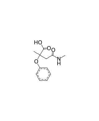 CNC(=O)CC(C)(Oc1ccccc1)C(=O)O